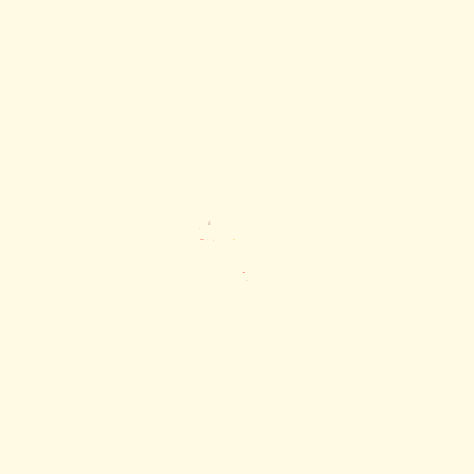 O=[S](=O)(O)[Ce].[BaH2]